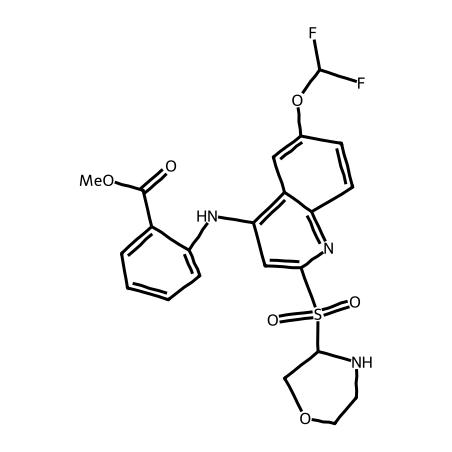 COC(=O)c1ccccc1Nc1cc(S(=O)(=O)C2COCCN2)nc2ccc(OC(F)F)cc12